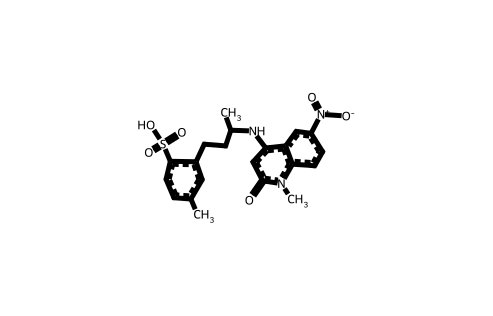 Cc1ccc(S(=O)(=O)O)c(CCC(C)Nc2cc(=O)n(C)c3ccc([N+](=O)[O-])cc23)c1